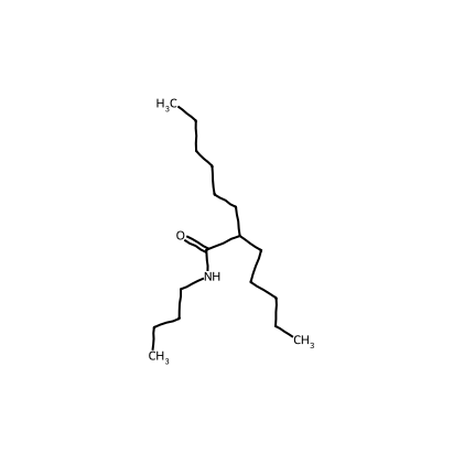 CCCCCCC(CCCCC)C(=O)NCCCC